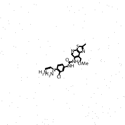 COCc1c(NC(=O)Nc2ccc(N(N)/C=C\N)c(Cl)c2)cnc2sc(C)nc12